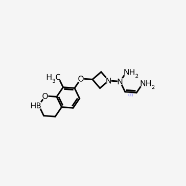 Cc1c(OC2CN(N(N)/C=C\N)C2)ccc2c1OBCC2